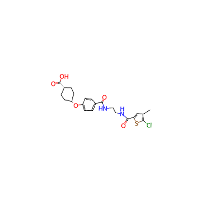 Cc1cc(C(=O)NCCNC(=O)c2ccc(O[C@H]3CC[C@@H](C(=O)O)CC3)cc2)sc1Cl